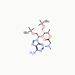 C[C@@H](OC(=O)CN(C)C)[C@@H](CO[Si](C)(C)C(C)(C)C)O[C@H](CO[Si](C)(C)C(C)(C)C)n1cnc2c(N)ncnc21